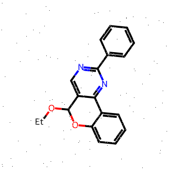 CCOC1Oc2ccccc2-c2nc(-c3ccccc3)ncc21